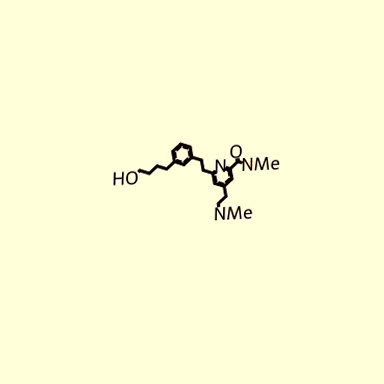 CNCCc1cc(CCc2cccc(CCCCO)c2)nc(C(=O)NC)c1